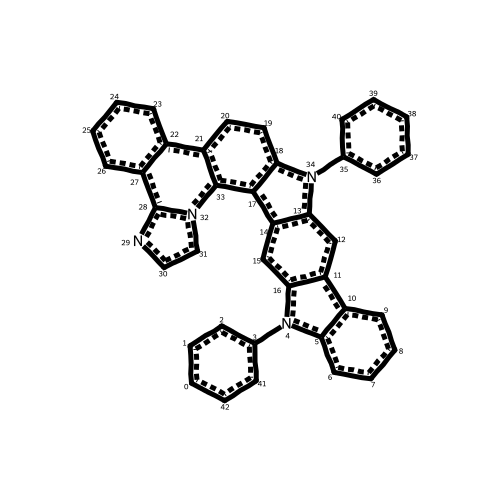 c1ccc(-n2c3ccccc3c3cc4c(cc32)c2c(ccc3c5ccccc5c5nccn5c32)n4-c2ccccc2)cc1